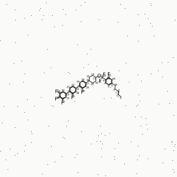 C/C=C/CCc1ccc(C(F)(F)OC2CCC(c3ccc(-c4ccc(-c5cc(F)c(F)c(F)c5)c(F)c4)c(F)c3)CC2)c(F)c1